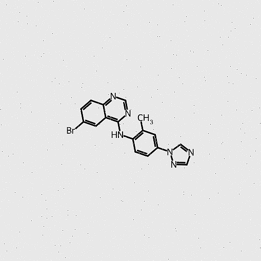 Cc1cc(-n2cncn2)ccc1Nc1ncnc2ccc(Br)cc12